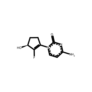 Nc1ccn(C2=C(F)[C@@H](O)CC2)c(=O)n1